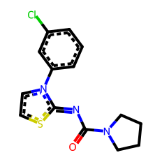 O=C(/N=c1\sccn1-c1cccc(Cl)c1)N1CCCC1